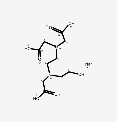 O=C(O)CN(CCO)CCN(CC(=O)O)CC(=O)O.[Na+]